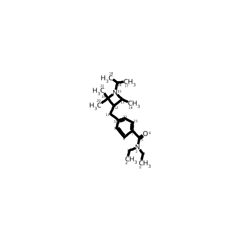 CCN(CC)C(=O)c1ccc(CC2C(C)N(C(C)C)C2(C)C)cc1